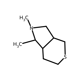 CC1C2CCSCC2CN1C